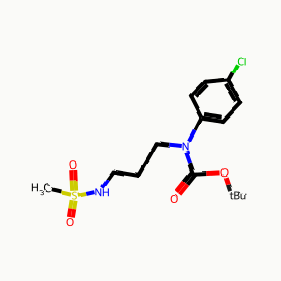 CC(C)(C)OC(=O)N(CCCNS(C)(=O)=O)c1ccc(Cl)cc1